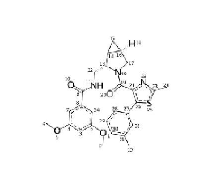 COc1cc(OC)cc(C(=O)NC[C@@H]2C3C[C@H]3CN2C(=O)c2nc(C)sc2-c2cccc(C)c2)c1